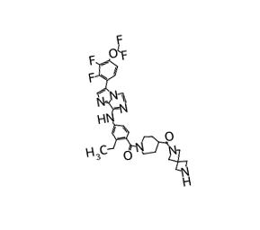 CCc1cc(Nc2nccn3c(-c4ccc(OC(F)F)c(F)c4F)cnc23)ccc1C(=O)N1CCC(C(=O)N2CC3(CNC3)C2)CC1